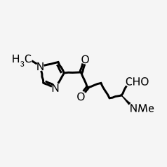 CN[C@H](C=O)CCC(=O)C(=O)c1cn(C)cn1